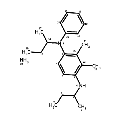 CCC(C)Nc1ccc(N(c2ccccc2)C(C)CC)c(C)c1C.N